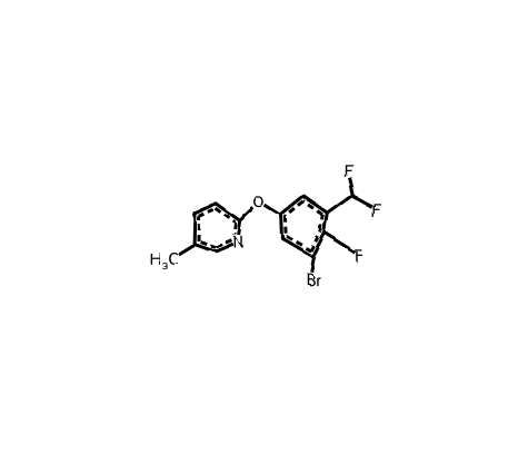 Cc1ccc(Oc2cc(Br)c(F)c(C(F)F)c2)nc1